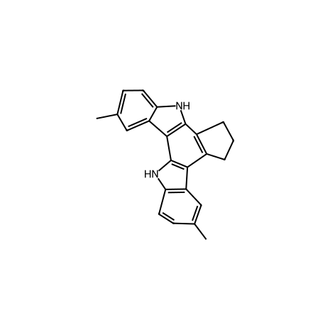 Cc1ccc2[nH]c3c(c4c(c5[nH]c6ccc(C)cc6c53)CCC4)c2c1